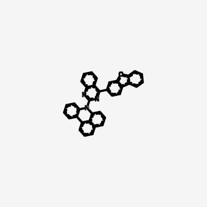 c1ccc2c(c1)-c1cccc3cccc(c13)N2c1nc(-c2ccc3c(c2)oc2ccccc23)c2ccccc2n1